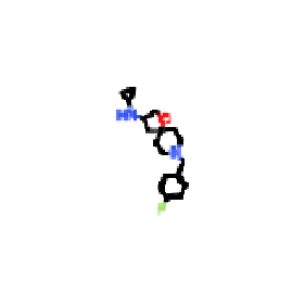 Fc1ccc(CN2CCC3(CC2)CC(NC2CC2)CO3)cc1